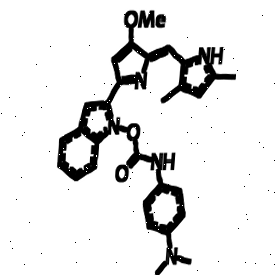 COC1=CC(c2cc3ccccc3n2OC(=O)Nc2ccc(N(C)C)cc2)=NC1=Cc1[nH]c(C)cc1C